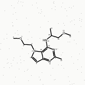 COCCn1ccc2nc(C)nc(NC(C)COC)c21